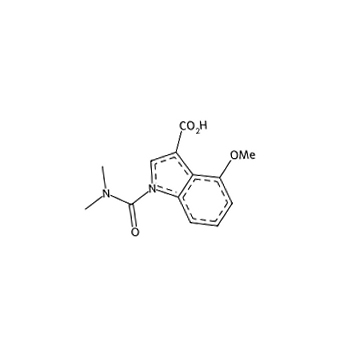 COc1cccc2c1c(C(=O)O)cn2C(=O)N(C)C